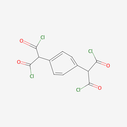 O=C(Cl)C(C(=O)Cl)c1ccc(C(C(=O)Cl)C(=O)Cl)cc1